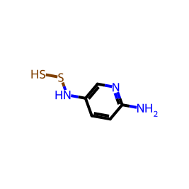 Nc1ccc(NSS)cn1